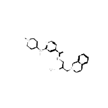 COC(CNC(=O)c1ccnc(NC2CCN(C(C)=O)CC2)c1)CN1CCc2ccccc2C1